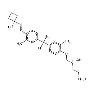 CCC(CC)(c1ccc(C=CC2(O)CCC2)c(C)c1)c1ccc(OC[C@H](O)CCC(=O)O)c(C)c1